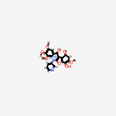 COC1=C(O)c2oc(Nc3cccnc3)c(C(=O)c3cc(OC)c(OC)c(OC)c3)c2C(=O)C1